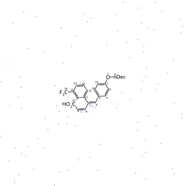 CCCCCCCCCCOc1ccc(/C=C(/C=C\C(=O)O)c2cccc(C(F)(F)F)c2)cc1